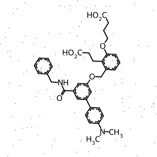 CN(C)c1ccc(-c2cc(OCc3cccc(OCCCC(=O)O)c3CCC(=O)O)cc(C(=O)NCc3ccccc3)c2)cc1